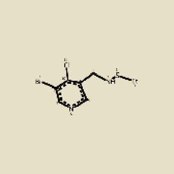 CCSNCc1cncc(Br)c1Cl